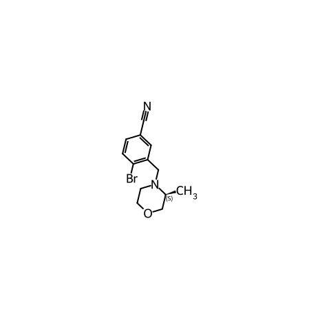 C[C@H]1COCCN1Cc1cc(C#N)ccc1Br